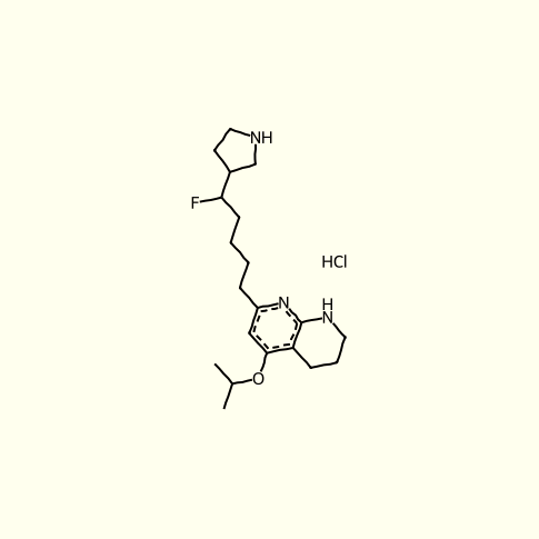 CC(C)Oc1cc(CCCCC(F)C2CCNC2)nc2c1CCCN2.Cl